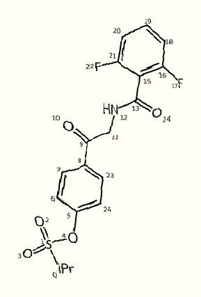 CC(C)S(=O)(=O)Oc1ccc(C(=O)CNC(=O)c2c(F)cccc2F)cc1